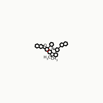 CC1(C)c2ccccc2-c2c(N(c3cccc(-c4ccc5ccccc5c4)c3)c3ccccc3-c3cccc4c3oc3cc5ccccc5cc34)cccc21